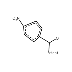 CCCCCCCC([O])c1ccc([N+](=O)[O-])cc1